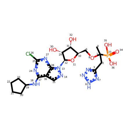 CC(Cc1nn[nH]n1)(OC[C@H]1O[C@@H](n2ncc3c(NC4CCCC4)nc(Cl)nc32)[C@H](O)[C@@H]1O)P(=O)(O)O